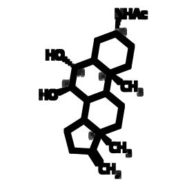 C=C1CCC2C3C(CC[C@]12C)[C@@]1(C)CC[C@@H](NC(C)=O)CC1[C@@H](O)[C@@H]3O